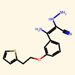 N#C/C(NN)=C(/N)c1cccc(OCCc2cccs2)c1